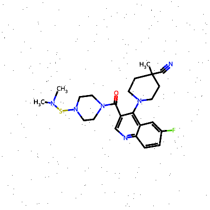 CN(C)SN1CCN(C(=O)c2cnc3ccc(F)cc3c2N2CCC(C)(C#N)CC2)CC1